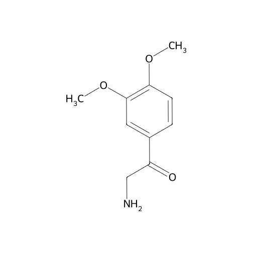 COc1ccc(C(=O)CN)cc1OC